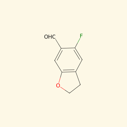 O=Cc1cc2c(cc1F)CCO2